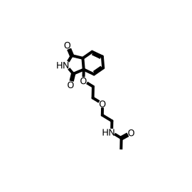 CC(=O)NCCOCCOC12C=CC=CC1C(=O)NC2=O